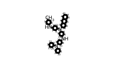 Cc1ccc(Nc2ccc(N(c3ccc(Nc4ccc(N(c5ccccc5)c5ccccc5)cc4)cc3)c3ccc4cc5ccccc5cc4c3)cc2)cc1